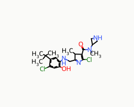 CC1C(CNc2cc(C(C)(C)C)c(Cl)cc2O)=NC(Cl)=C1C(=O)N(C)C1CNC1